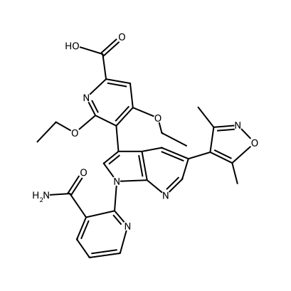 CCOc1cc(C(=O)O)nc(OCC)c1-c1cn(-c2ncccc2C(N)=O)c2ncc(-c3c(C)noc3C)cc12